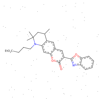 CCOC(=O)CCCN1c2cc3oc(=O)c(-c4nc5ccccc5o4)cc3cc2C(C)CC1(C)C